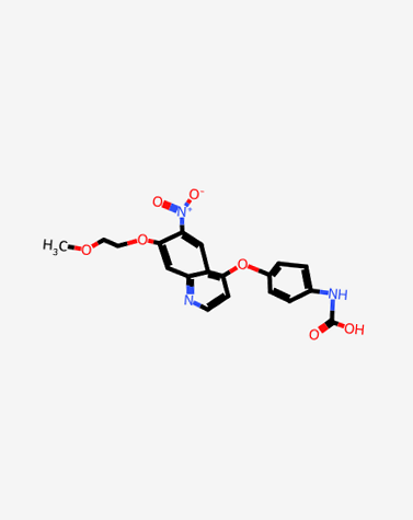 COCCOc1cc2nccc(Oc3ccc(NC(=O)O)cc3)c2cc1[N+](=O)[O-]